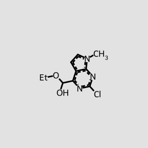 CCOC(O)c1nc(Cl)nc2c1ccn2C